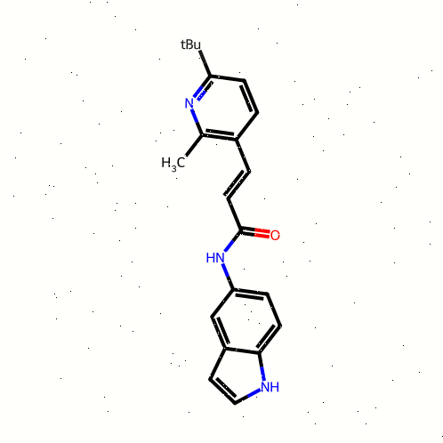 Cc1nc(C(C)(C)C)ccc1C=CC(=O)Nc1ccc2[nH]ccc2c1